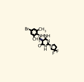 Cc1cc(Br)cc(C)c1N/C=C1\C(=N)N=C(N2CCC(F)(F)C2)NC1=O